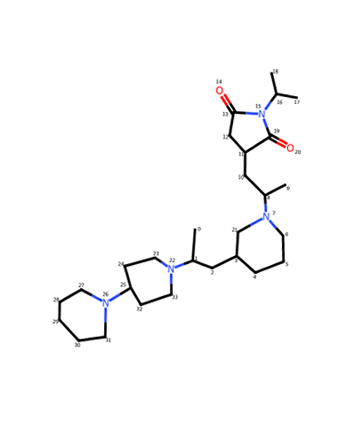 CC(CC1CCCN(C(C)CC2CC(=O)N(C(C)C)C2=O)C1)N1CCC(N2CCCCC2)CC1